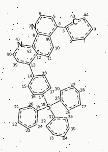 c1ccc(-c2ccnc3c2ccc2c(-c4ccc(S(c5ccccc5)(c5ccccc5)c5ccccc5)cc4)ccnc23)cc1